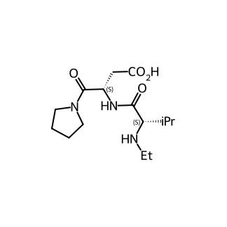 CCN[C@H](C(=O)N[C@@H](CC(=O)O)C(=O)N1CCCC1)C(C)C